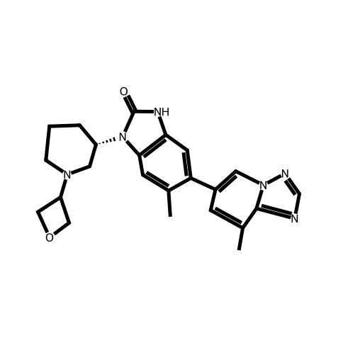 Cc1cc2c(cc1-c1cc(C)c3ncnn3c1)[nH]c(=O)n2[C@H]1CCCN(C2COC2)C1